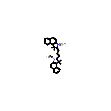 CCCN1/C(=C/C=C/C2=[N+](CCC)c3ccc4ccccc4c3C2(C)C)C(C)(C)c2c1ccc1ccccc21